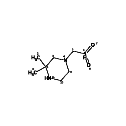 CC1(C)CN(C[SH](=O)=O)CCN1